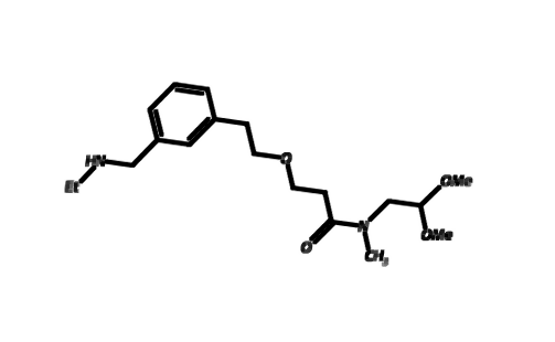 CCNCc1cccc(CCOCCC(=O)N(C)CC(OC)OC)c1